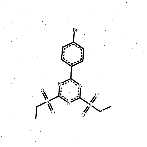 CCS(=O)(=O)c1nc(-c2ccc(Br)cc2)nc(S(=O)(=O)CC)n1